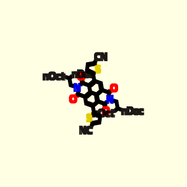 CCCCCCCCCCC(CCCCCCCC)CN1C(=O)c2cc(-c3ccc(C#N)s3)c3c4c(cc(-c5ccc(C#N)s5)c(c24)C1=O)C(=O)N(CC(CCCCCCCC)CCCCCCCCCC)C3=O